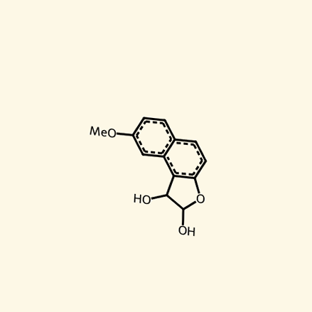 COc1ccc2ccc3c(c2c1)C(O)C(O)O3